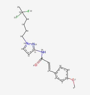 COc1ccc(/C=C/C(=O)Nc2ccn(CCCCC(C)(F)F)n2)cc1